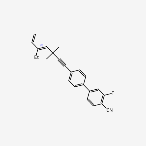 C=C/C(=C/C(C)(C)C#Cc1ccc(-c2ccc(C#N)c(F)c2)cc1)CC